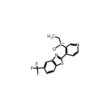 CC[S+]([O-])c1cnccc1-c1nc2cc(C(F)(F)F)ccc2s1